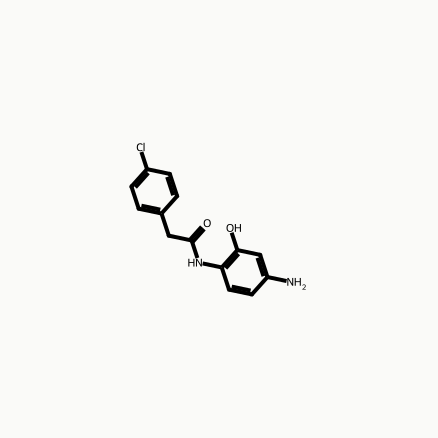 Nc1ccc(NC(=O)Cc2ccc(Cl)cc2)c(O)c1